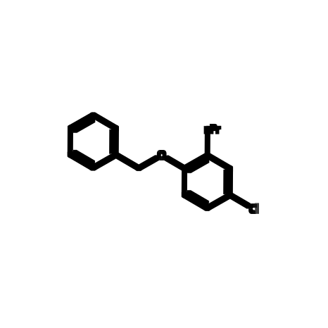 [CH2]CCc1cc(Cl)ccc1OCc1ccccc1